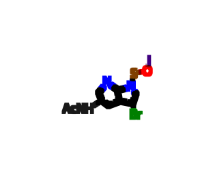 CC(=O)Nc1cnc2c(c1)c(Br)cn2SOI